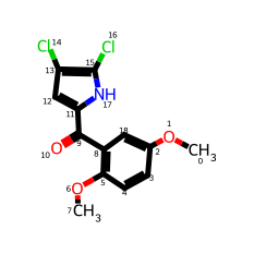 COc1ccc(OC)c(C(=O)c2cc(Cl)c(Cl)[nH]2)c1